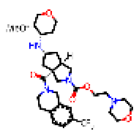 CO[C@@H]1COCC[C@@H]1N[C@@H]1C[C@H]2CN(C(=O)OCCN3CCOCC3)C[C@@]2(C(=O)N2CCc3ccc(C(F)(F)F)cc3C2)C1